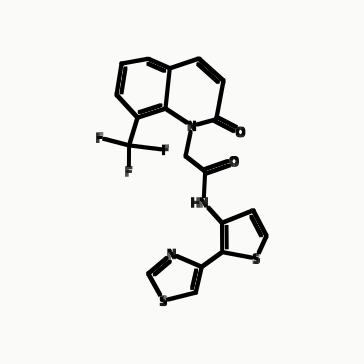 O=C(Cn1c(=O)ccc2cccc(C(F)(F)F)c21)Nc1ccsc1-c1cscn1